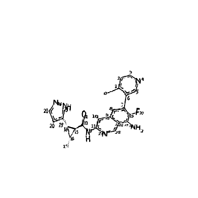 Cc1ccncc1-c1cc2cc(NC(=O)[C@H]3[C@H](C)[C@@H]3c3ccn[nH]3)ncc2c(N)c1F